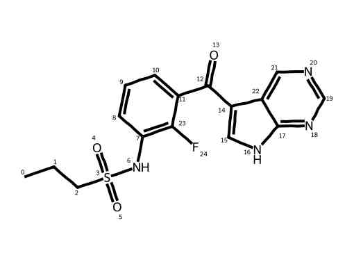 CCCS(=O)(=O)Nc1cccc(C(=O)c2c[nH]c3ncncc23)c1F